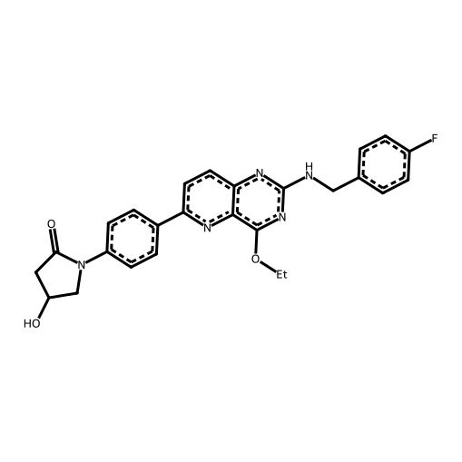 CCOc1nc(NCc2ccc(F)cc2)nc2ccc(-c3ccc(N4CC(O)CC4=O)cc3)nc12